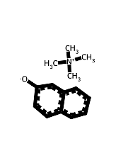 C[N+](C)(C)C.[O]c1ccc2ccccc2c1